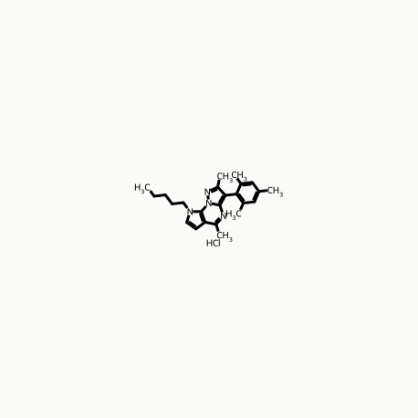 CCCCCn1ccc2c(C)nc3c(-c4c(C)cc(C)cc4C)c(C)nn3c21.Cl